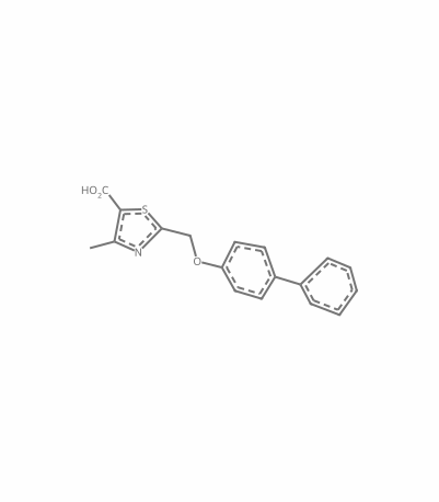 Cc1nc(COc2ccc(-c3ccccc3)cc2)sc1C(=O)O